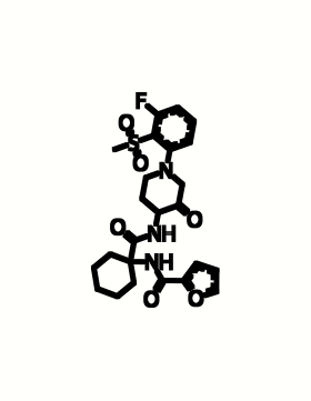 CS(=O)(=O)c1c(F)cccc1N1CCC(NC(=O)C2(NC(=O)c3ccco3)CCCCC2)C(=O)C1